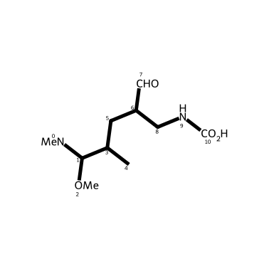 CNC(OC)C(C)CC(C=O)CNC(=O)O